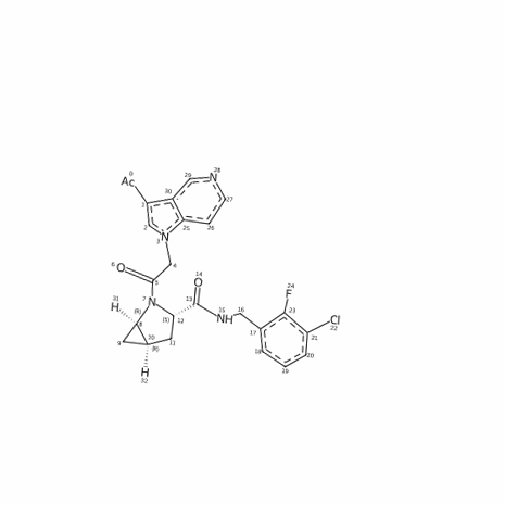 CC(=O)c1cn(CC(=O)N2[C@@H]3C[C@@H]3C[C@H]2C(=O)NCc2cccc(Cl)c2F)c2ccncc12